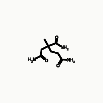 CC(CCC(N)=O)(CC(N)=O)C(N)=O